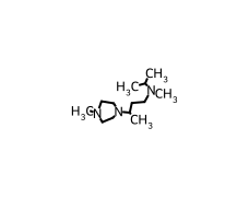 CC(C)N(C)CCC(C)N1CCN(C)CC1